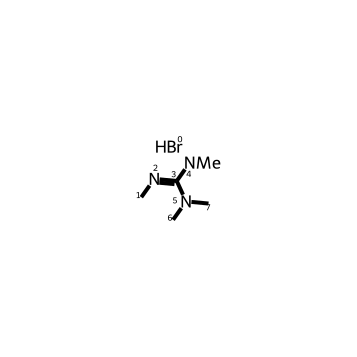 Br.CN=C(NC)N(C)C